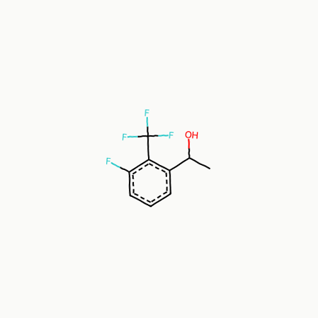 CC(O)c1cccc(F)c1C(F)(F)F